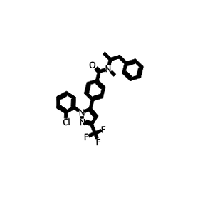 CC(Cc1ccccc1)N(C)C(=O)c1ccc(-c2cc(C(F)(F)F)nn2-c2ccccc2Cl)cc1